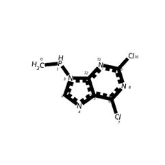 CPn1cnc2c(Cl)nc(Cl)nc21